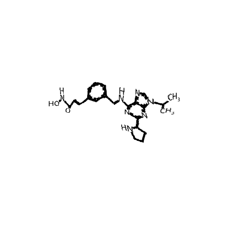 CC(C)n1cnc2c(NCc3cccc(/C=C/C(=O)NO)c3)nc(C3CCCN3)nc21